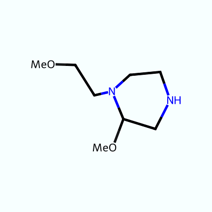 COCCN1CCNCC1OC